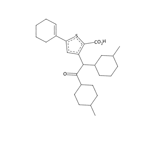 CC1CCC(C(=O)C(c2cc(C3=CCCCC3)sc2C(=O)O)C2CCCC(C)C2)CC1